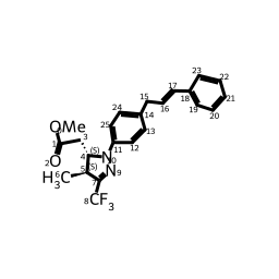 COC(=O)C[C@H]1[C@H](C)C(C(F)(F)F)=NN1c1ccc(CC=Cc2ccccc2)cc1